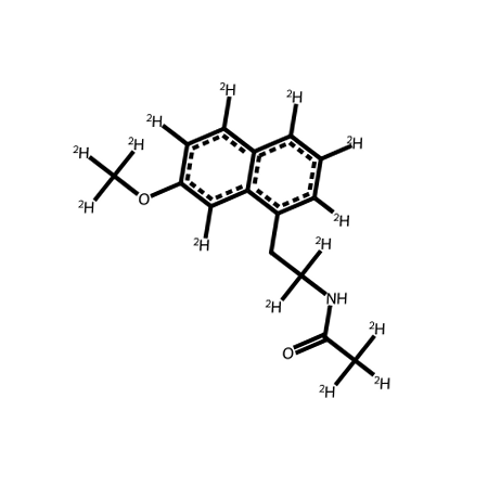 [2H]c1c([2H])c(CC([2H])([2H])NC(=O)C([2H])([2H])[2H])c2c([2H])c(OC([2H])([2H])[2H])c([2H])c([2H])c2c1[2H]